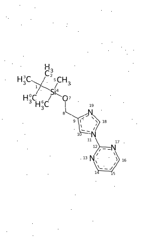 CC(C)(C)[Si](C)(C)OCc1cn(-c2ncccn2)cn1